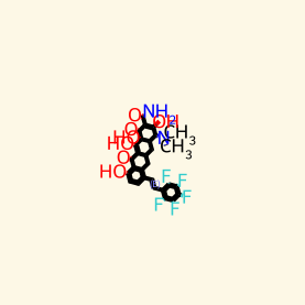 CN(C)C1C(O)=C(C(N)=O)C(=O)C2(O)C(O)=C3C(=O)c4c(O)ccc(/C=C/c5c(F)c(F)c(F)c(F)c5F)c4CC3CC12